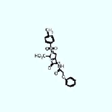 Cc1ccc(S(=O)(=O)N2CC3[C@H](NC(=O)COc4ccccc4)C(=O)N3C2C(=O)O)cc1